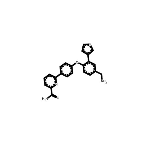 NCc1ccc(Oc2ccc(-c3cccc(C(N)=O)n3)cc2)c(-c2ccsc2)c1